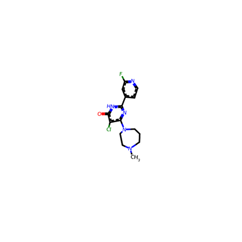 CN1CCCN(c2nc(-c3ccnc(F)c3)[nH]c(=O)c2Cl)CC1